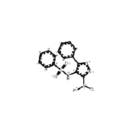 CC(C)[S+]([O-])c1onc(-c2ccccc2)c1NS(=O)(=O)c1ccccc1